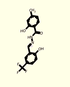 Cc1ccc(C(=O)N/N=C/c2cc(C(F)(F)F)ccc2O)c(O)c1